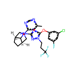 Cc1cc(N2C[C@H]3CC[C@@H](C2)C3Nc2nc(Oc3cc(F)cc(Cl)c3)n(CCC(F)(F)F)n2)ncn1